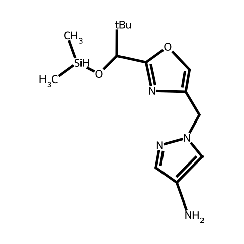 C[SiH](C)OC(c1nc(Cn2cc(N)cn2)co1)C(C)(C)C